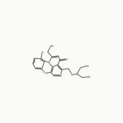 O=c1cc(CO)n(-c2c(Cl)cccc2Cl)c2c(Cl)cnc(COC(CO)CO)c12